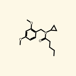 CCCCC(=O)N(Cc1ccc(OC)cc1OC)C1CC1